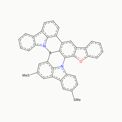 CSc1ccc2c(c1)c1cc(SC)cc3c1n2-c1c2c(cc4c1oc1ccccc14)-c1cccc4c5ccccc5n(c14)B23